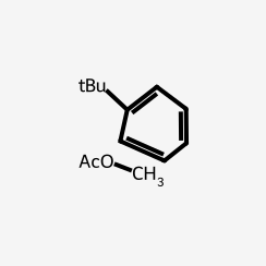 CC(C)(C)c1ccccc1.COC(C)=O